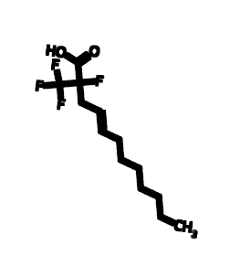 CCCCCCCC=CCC(F)(C(=O)O)C(F)(F)F